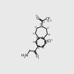 Cl.NCC(=O)c1ccc2c(c1)CCN(C(=O)C(F)(F)F)CC2